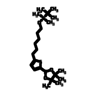 CC1(C)OB(c2ccc(CCCCCCO[Si](C)(C)C(C)(C)C)s2)OC1(C)C